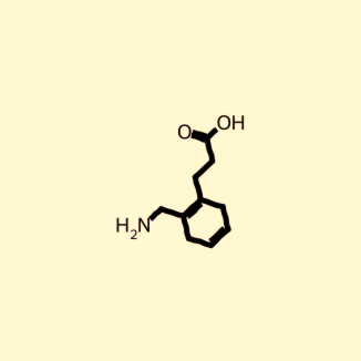 NCC1=C(CCC(=O)O)CC=CC1